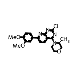 COc1ccc(-c2ccc3c(N4CCOC[C@H]4C)nc(Cl)nc3n2)cc1OC